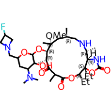 CC[C@H]1OC(=O)C(C)C(=O)[C@H](C)[C@@H](OC2OC(CN3CC(F)C3)CC(N(C)C)C2O)[C@](C)(OC)C[C@@H](C)CN[C@H](C)[C@H]2NC(=O)O[C@@]21CC